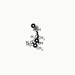 CC1=CCC2C(C1)c1c(O)cc(C(C)(C)CCCCNS(=O)(=O)c3ccccc3)cc1OC2(C)C